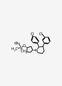 CC(C)(C)[Si](C)(C)O[C@@H]1CC[C@H](N2CCCC(c3cccc(Cl)c3)C2c2ccc(Cl)cc2)C1